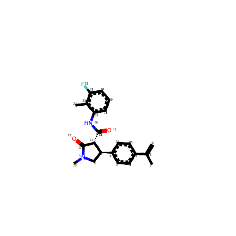 C=C(C)c1ccc([C@H]2CN(C)C(=O)[C@@H]2C(=O)Nc2cccc(F)c2C)cc1